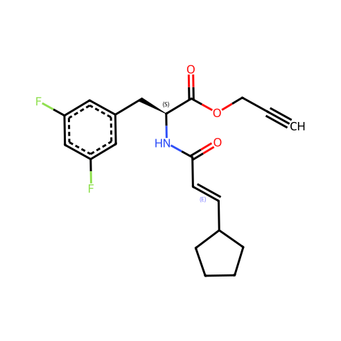 C#CCOC(=O)[C@H](Cc1cc(F)cc(F)c1)NC(=O)/C=C/C1CCCC1